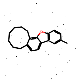 Cc1ccc2oc3c4c(ccc3c2c1)CCCCCCC4